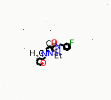 CCSc1nc(N(C)CC2CCCCO2)cc(C)c1C(=O)NCc1cccc(F)c1